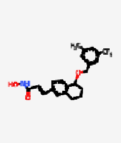 O=C(/C=C/c1ccc2c(c1)CCCC2OCc1cc(C(F)(F)F)cc(C(F)(F)F)c1)NO